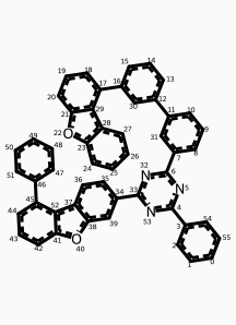 c1ccc(-c2nc(-c3cccc(-c4cccc(-c5cccc6oc7ccccc7c56)c4)c3)nc(-c3ccc4c(c3)oc3cccc(-c5ccccc5)c34)n2)cc1